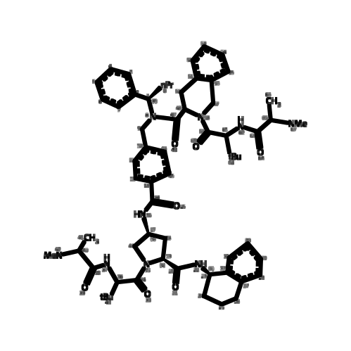 CCC[C@H](c1ccccc1)N(Cc1ccc(C(=O)N[C@H]2C[C@@H](C(=O)N[C@@H]3CCCc4ccccc43)N(C(=O)C(NC(=O)C(C)NC)C(C)(C)C)C2)cc1)C(=O)C1Cc2ccccc2CN1C(=O)C(NC(=O)C(C)NC)C(C)(C)C